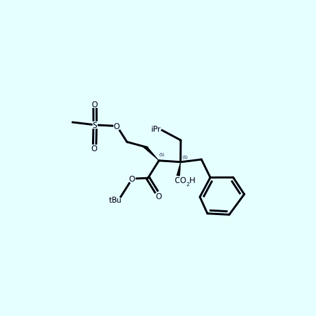 CC(C)C[C@@](Cc1ccccc1)(C(=O)O)[C@H](CCOS(C)(=O)=O)C(=O)OC(C)(C)C